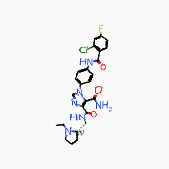 CCN1CCC[C@H]1CNC(=O)c1ncn(-c2ccc(NC(=O)c3ccc(F)cc3Cl)cc2)c1C(N)=O